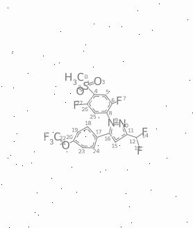 CS(=O)(=O)c1cc(F)c(-n2nc(C(F)F)cc2-c2ccc(OC(F)(F)F)cc2)cc1F